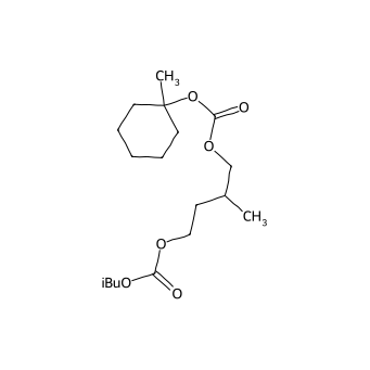 CC(C)COC(=O)OCCC(C)COC(=O)OC1(C)CCCCC1